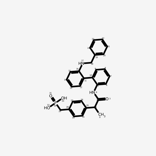 CC(C(=O)Nc1ccccc1-c1ccccc1NCc1ccccc1)c1ccc(CP(=O)(O)O)cc1